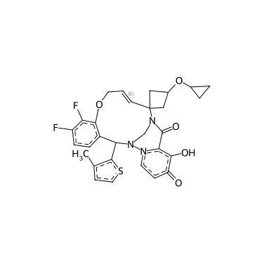 Cc1ccsc1C1c2ccc(F)c(F)c2OC/C=C/C2(CC(OC3CC3)C2)N2CN1n1ccc(=O)c(O)c1C2=O